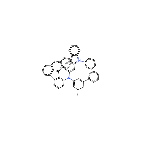 CC1C=C(N(c2ccc3c4ccccc4n(-c4ccccc4)c3c2)c2cccc3c2-c2c4ccccc4cc4cccc-3c24)C=C(c2ccccc2)C1